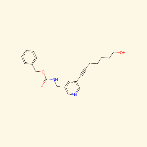 O=C(NCc1cncc(C#CCCCCCO)c1)OCc1ccccc1